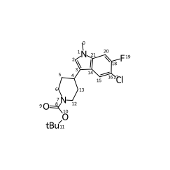 Cn1cc(C2CCN(C(=O)OC(C)(C)C)CC2)c2cc(Cl)c(F)cc21